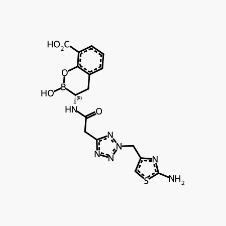 Nc1nc(Cn2nnc(CC(=O)N[C@H]3Cc4cccc(C(=O)O)c4OB3O)n2)cs1